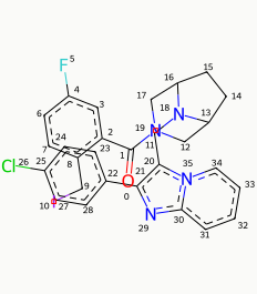 O=C(c1cc(F)ccc1CI)N1CC2CCC(C1)N2Cc1c(-c2ccc(Cl)cc2)nc2ccccn12